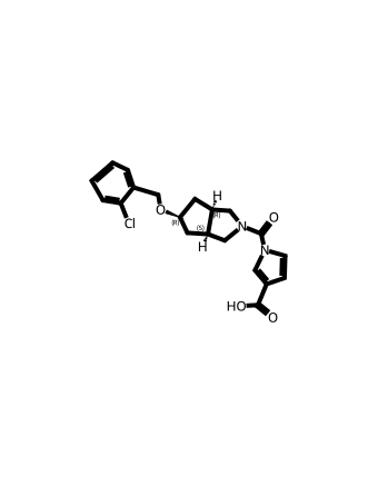 O=C(O)c1ccn(C(=O)N2C[C@H]3C[C@@H](OCc4ccccc4Cl)C[C@H]3C2)c1